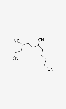 N#CCCCCC(C#N)CCC(C#N)CCC#N